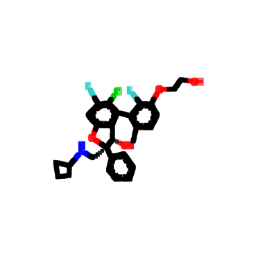 Cc1ccc(OCCO)c(F)c1-c1c(Cl)c(F)cc2c1[C@H](O)[C@@](CNC1CCC1)(c1ccccc1)O2